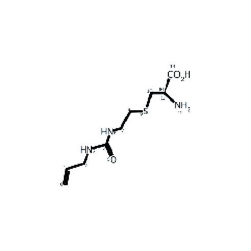 C=CCNC(=O)NCCSC[C@H](N)C(=O)O